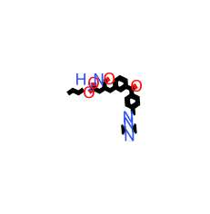 CCCCOC(=O)CC1Cc2cc(C(=O)c3ccc(C=NN4CCN(C)CC4)cc3)ccc2OC1N